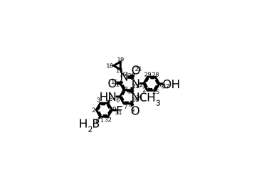 Bc1ccc(Nc2cc(=O)n(C)c3c2c(=O)n(C2CC2)c(=O)n3-c2ccc(O)cc2)c(F)c1